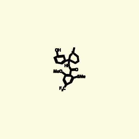 COc1cc(C(F)(F)F)cc(SC)c1C(=O)NC1(c2cccc(O)c2)CCCN(C)C1